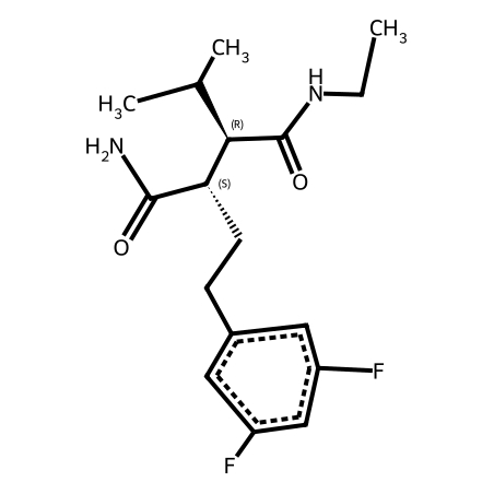 CCNC(=O)[C@H](C(C)C)[C@H](CCc1cc(F)cc(F)c1)C(N)=O